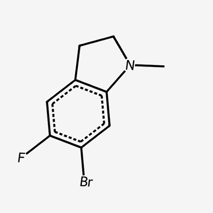 CN1CCc2cc(F)c(Br)cc21